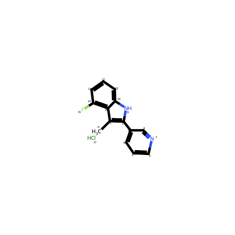 Cc1c(-c2cccnc2)[nH]c2cccc(F)c12.Cl